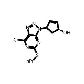 CCCSc1nc(Cl)c2nnn(C3C=C[C@@H](O)C3)c2n1